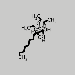 CCCCCCCCC(O)(O)C(O)(O)[Si](OCC)(OCC)OCC